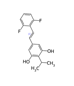 CC(C)c1c(O)cc(/C=C/c2c(F)cccc2F)cc1O